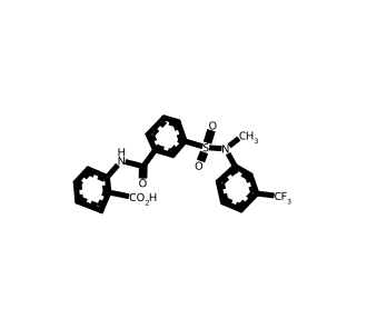 CN(c1cccc(C(F)(F)F)c1)S(=O)(=O)c1cccc(C(=O)Nc2ccccc2C(=O)O)c1